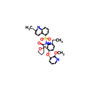 CCc1ccc(Oc2cccnc2OC)c([C@]2(C(=O)NS(=O)(=O)c3cccc4nc(C)ccc34)CCCO2)c1